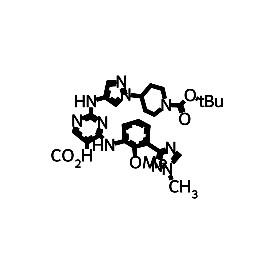 COc1c(Nc2nc(Nc3cnn(C4CCN(C(=O)OC(C)(C)C)CC4)c3)ncc2C(=O)O)cccc1-c1ncn(C)n1